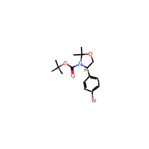 CC(C)(C)OC(=O)N1[C@H](c2ccc(Br)cc2)COC1(C)C